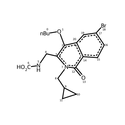 CCCCOc1c(CNC(=O)O)n(CC2CC2)c(=O)c2ccc(Br)cc12